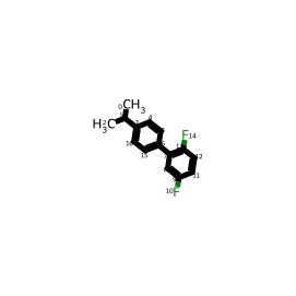 CC(C)c1ccc(-c2cc(F)ccc2F)cc1